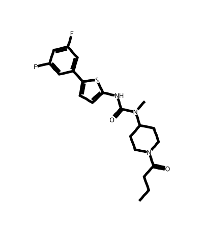 CCCC(=O)N1CCC(N(C)C(=O)Nc2ccc(-c3cc(F)cc(F)c3)s2)CC1